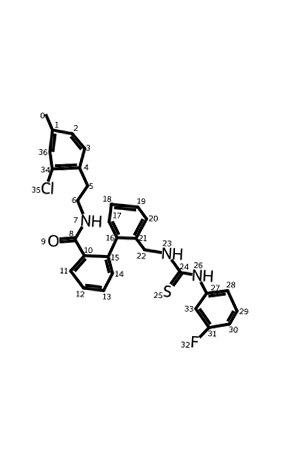 Cc1ccc(CCNC(=O)c2ccccc2-c2ccccc2CNC(=S)Nc2cccc(F)c2)c(Cl)c1